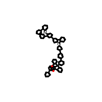 c1ccc(-c2ccc(-c3ccccc3C3(c4cccc(-c5ccc(-c6ccc(-n7c8ccccc8c8cc(-c9ccc%10c(c9)c9ccccc9n%10-c9ccccc9-c9ccccc9)ccc87)cc6)cc5)c4)c4ccccc4-c4ccccc43)cc2)cc1